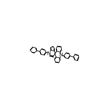 c1ccc(-c2ccc(N3c4ccccc4C4(c5ccccc53)c3ccccc3N(c3ccc(-c5ccccc5)cc3)c3ccccc34)cc2)cc1